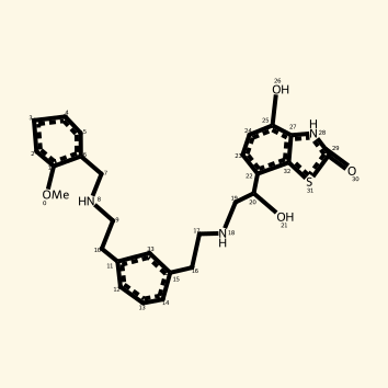 COc1ccccc1CNCCc1cccc(CCNCC(O)c2ccc(O)c3[nH]c(=O)sc23)c1